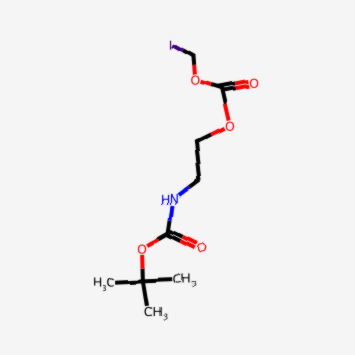 CC(C)(C)OC(=O)NCCOC(=O)OCI